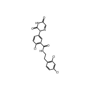 O=C(NCCc1ccc(Cl)cc1Cl)c1cc(-n2ncc(=O)[nH]c2=O)ccc1Cl